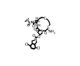 CN(C)[S+]([O-])NC(=O)[C@@]12C[C@H]1/C=C\CCCCC[C@H](N)C(=O)N1C[C@H](OC(=O)N3Cc4c(Cl)ccc(Cl)c4C3)C[C@H]1C(=O)N2